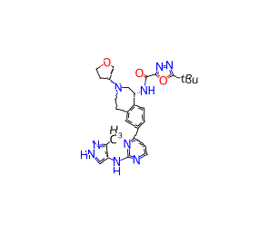 Cc1n[nH]cc1Nc1nccc(-c2ccc3c(c2)CCN([C@H]2CCOC2)C[C@@H]3NC(=O)c2nnc(C(C)(C)C)o2)n1